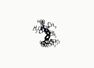 CC/N=C1\C=C2C(=Cc3cc4c(cc3C2(C)C)N(CC)C(C)(C)C=C4CS(=O)(=O)O)C=C1/C(=C\C(C)(C)C)CS(=O)(=O)O